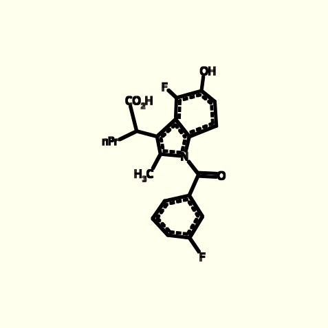 CCCC(C(=O)O)c1c(C)n(C(=O)c2cccc(F)c2)c2ccc(O)c(F)c12